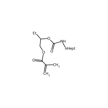 C=C(C)C(=O)OCC(CC)OC(=O)NCCCCCCC